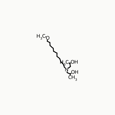 COCCCCCCCCCCCN(CC(C)O)CC(C)O